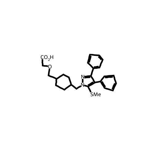 CSc1c(-c2ccccc2)c(-c2ccccc2)nn1CC1CCC(COCC(=O)O)CC1